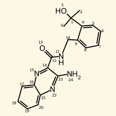 CC(C)(O)c1ccccc1CNC(=O)c1nc2ccccc2nc1N